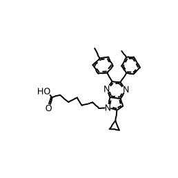 Cc1ccc(-c2nc3c(cc(C4CC4)n3CCCCCCC(=O)O)nc2-c2cccc(C)c2)cc1